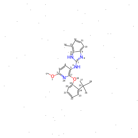 COc1ccc(Nc2nc3cccc(C)c3[nH]2)c(Oc2ccccc2C(C)(C)C)n1